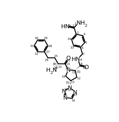 N=C(N)c1ccc(CNC(=O)[C@@H]2C[C@H](n3ncnn3)CN2C(=O)[C@H](N)CCc2ccccc2)cc1